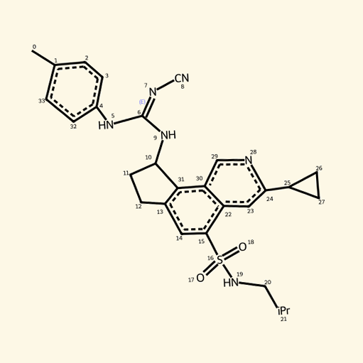 Cc1ccc(N/C(=N/C#N)NC2CCc3cc(S(=O)(=O)NCC(C)C)c4cc(C5CC5)ncc4c32)cc1